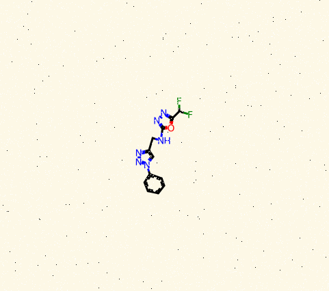 FC(F)c1nnc(NCc2cn(-c3ccccc3)nn2)o1